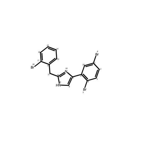 Brc1ccc(Br)c(-c2c[nH]c(Cc3ccccc3Br)n2)c1